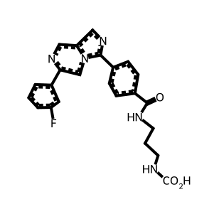 O=C(O)NCCCNC(=O)c1ccc(-c2ncc3cnc(-c4cccc(F)c4)cn23)cc1